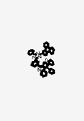 c1ccc(-c2nc(-c3cccc(-c4nc5ccccc5c5c(-c6ccccc6)c6c(cc45)oc4ccccc46)c3)nc(-c3ccc4c5ccccc5c5ccccc5c4c3)n2)cc1